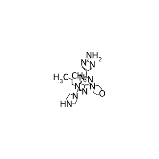 CC(C)Cn1c(N2CCNCC2)nc2c(N3CCOCC3)nc(-c3cnc(N)nc3)nc21